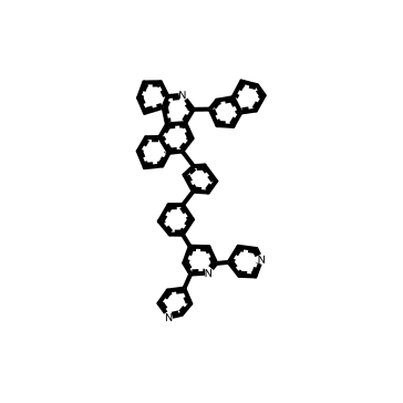 c1cc(-c2cccc(-c3cc4c(-c5ccc6ccccc6c5)nc5ccccc5c4c4ccccc34)c2)cc(-c2cc(-c3ccncc3)nc(-c3ccncc3)c2)c1